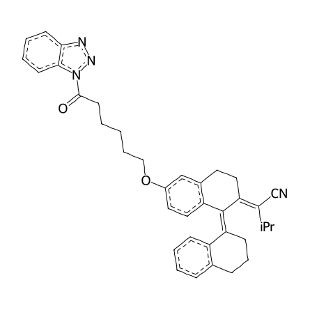 CC(C)/C(C#N)=C1/CCc2cc(OCCCCCC(=O)n3nnc4ccccc43)ccc2/C1=C1/CCCc2ccccc21